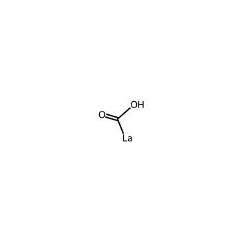 O=[C](O)[La]